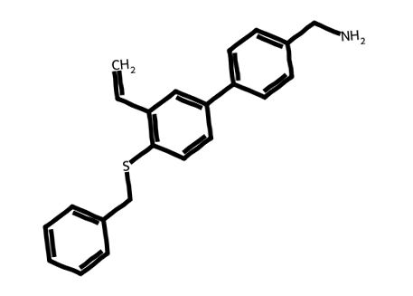 C=Cc1cc(-c2ccc(CN)cc2)ccc1SCc1ccccc1